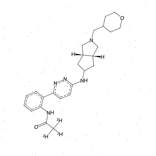 [2H]C([2H])([2H])C(=O)Nc1ccccc1-c1ccc(NC2C[C@@H]3CN(CC4CCOCC4)C[C@@H]3C2)nn1